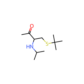 CC(=O)C(CSC(C)(C)C)NC(C)C